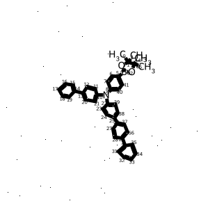 CC1(C)OB(c2ccc(N(c3ccc(-c4ccccc4)cc3)c3ccc(-c4ccc(-c5ccccc5)cc4)cc3)cc2)OC1(C)C